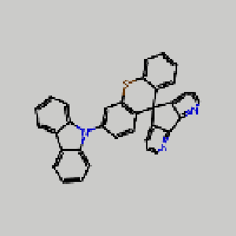 c1ccc2c(c1)Sc1cc(-n3c4ccccc4c4ccccc43)ccc1C21c2cccnc2-c2ncccc21